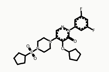 O=c1c(OC2CCCC2)c(N2CCN(S(=O)(=O)C3CCCC3)CC2)cnn1-c1cc(F)cc(F)c1